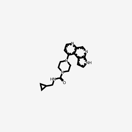 O=C(NCC1CC1)N1CCN(c2ccnc3cnc4[nH]ccc4c23)CC1